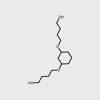 OCCCCOC1CCCC(OCCCCO)C1